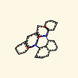 c1ccc(N(c2ccccc2)c2cccc3cccc(N(c4ccccc4)c4ccccc4)c23)cc1